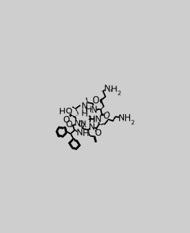 C=CC[C@H](NC(=O)[C@H](CCCCN)NC(=O)[C@H](CCCCN)NC(=O)[C@H](C)N)C(=O)NC(C(=O)N[C@@H](CC(C)C)C(=O)O)C(c1ccccc1)c1ccccc1